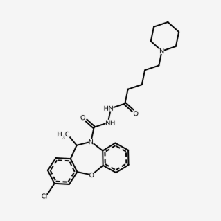 CC1c2ccc(Cl)cc2Oc2ccccc2N1C(=O)NNC(=O)CCCCN1CCCCC1